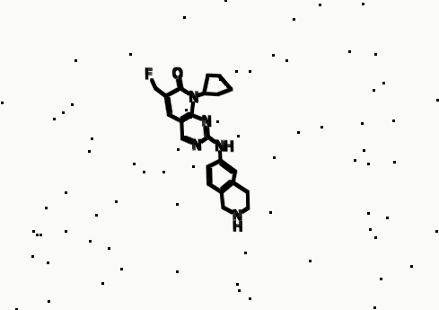 O=c1c(CF)cc2cnc(Nc3ccc4c(c3)CCNC4)nc2n1C1CCCC1